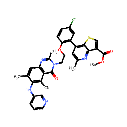 Cc1cc(-c2cc(Cl)ccc2OCCn2c(C)nc3cc(C(F)(F)F)c(Nc4cccnc4)c(C#N)c3c2=O)c2scc(C(=O)OC(C)(C)C)c2n1